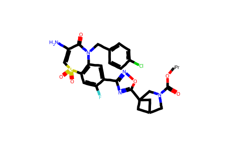 CC(C)OC(=O)N1CC2CC(c3nc(-c4cc5c(cc4F)S(=O)(=O)C=C(N)C(=O)N5Cc4ccc(Cl)cc4)no3)(C2)C1